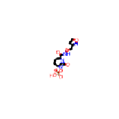 O=C(NOCc1ccon1)[C@@H]1CCC2CN1C(=O)N2OS(=O)(=O)O